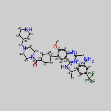 COc1cc2nc(C)nc(N[C@H](C)c3cc(N)cc(C(F)(F)F)c3)c2cc1C1CCC(C(=O)N2CCN(CC3CCNCC3)CC2)CC1